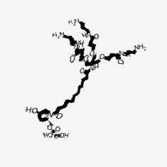 NCCCNC(=O)CCOCC(COCCC(=O)NCCCN)(COCCC(=O)NCCCN)NC(=O)CCCCCCCCCCC(=O)N1C[C@H](O)C[C@H]1COP(=O)(O)OO